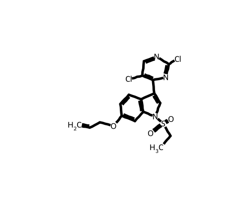 C=CCOc1ccc2c(-c3nc(Cl)ncc3Cl)cn(S(=O)(=O)CC)c2c1